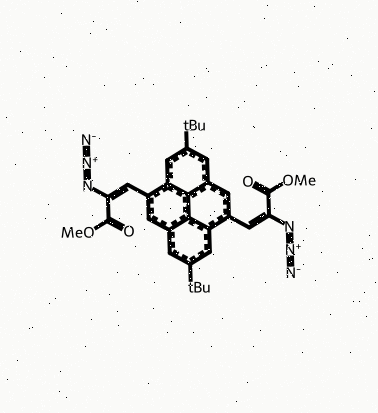 COC(=O)/C(=C\c1cc2cc(C(C)(C)C)cc3c(/C=C(/N=[N+]=[N-])C(=O)OC)cc4cc(C(C)(C)C)cc1c4c23)N=[N+]=[N-]